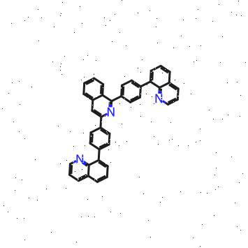 c1ccc2c(-c3ccc(-c4cccc5cccnc45)cc3)nc(-c3ccc(-c4cccc5cccnc45)cc3)cc2c1